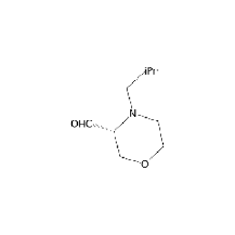 C[C](C)CN1CCOC[C@@H]1C=O